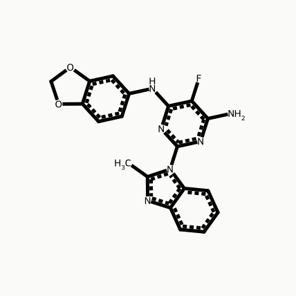 Cc1nc2ccccc2n1-c1nc(N)c(F)c(Nc2ccc3c(c2)OCO3)n1